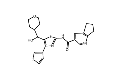 O=C(Nc1nc(-c2ccoc2)c(C(O)C2CCOCC2)s1)c1cnc2c(c1)CCC2